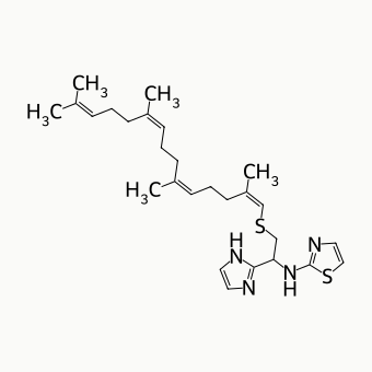 CC(C)=CCCC(C)=CCCC(C)=CCCC(C)=CSCC(Nc1nccs1)c1ncc[nH]1